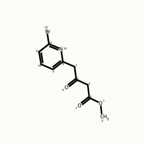 COC(=O)CC(=O)Cc1cccc(Br)n1